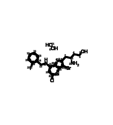 Cl.Cl.N[C@@H](CCO)Cc1sc2c(NCc3ccccc3F)cc(Cl)nc2c1Br